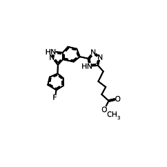 COC(=O)CCCCc1nnc(-c2ccc3[nH]nc(-c4ccc(F)cc4)c3c2)[nH]1